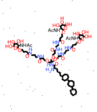 CC(=O)N[C@H]1C(OCCCC(=O)NCCCNC(=O)CCOCC(COCCC(=O)NCCCNC(=O)CCCOC2O[C@H](O)[C@H](O)[C@H](O)[C@H]2NC(C)=O)(COCCC(=O)NCCNC(=O)CCCOC2O[C@H](O)[C@H](O)[C@H](O)[C@H]2NC(C)=O)NC(=O)[C@H](N)CCCCC2CCCC(C3CCCC(C4CCCCCC4)CC3)CC2)O[C@H](O)[C@H](O)[C@@H]1O